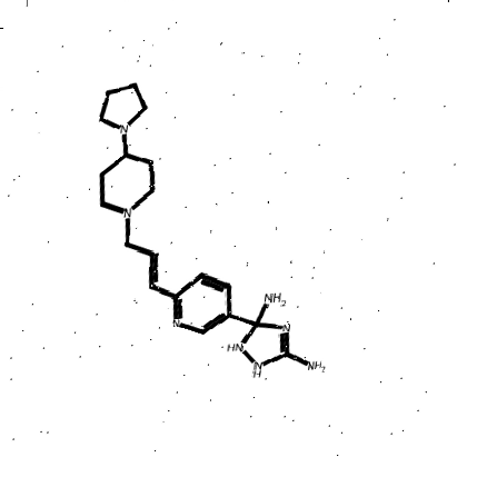 NC1=NC(N)(c2ccc(/C=C/CN3CCC(N4CCCC4)CC3)nc2)NN1